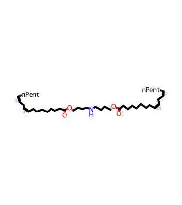 CCCCC/C=C\C/C=C\CCCCCCCC(=O)OCCCCNCCCCOC(=O)CCCCCCC/C=C\C/C=C\CCCCC